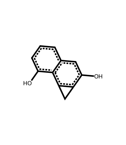 Oc1cc2cccc(O)c2c2c1C2